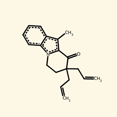 C=CCC1(CC=C)CCn2c(c(C)c3ccccc32)C1=O